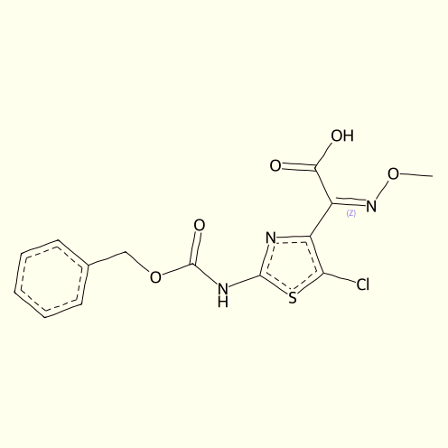 CO/N=C(\C(=O)O)c1nc(NC(=O)OCc2ccccc2)sc1Cl